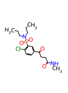 CCCN(CCC)S(=O)(=O)c1cc(C(=O)CCC(=O)NC)ccc1Cl